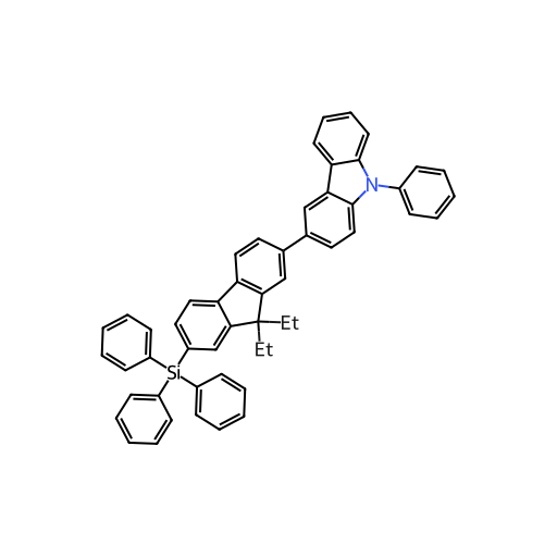 CCC1(CC)c2cc(-c3ccc4c(c3)c3ccccc3n4-c3ccccc3)ccc2-c2ccc([Si](c3ccccc3)(c3ccccc3)c3ccccc3)cc21